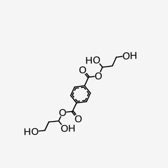 O=C(OC(O)CCO)c1ccc(C(=O)OC(O)CCO)cc1